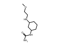 COCCNC1CCCC(NC(N)=O)C1